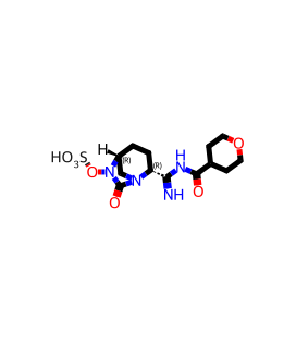 N=C(NC(=O)C1CCOCC1)[C@H]1CC[C@@H]2CN1C(=O)N2OS(=O)(=O)O